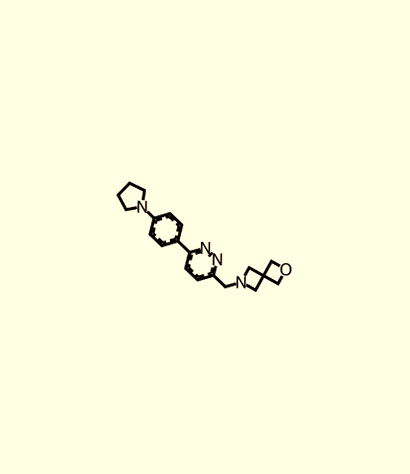 c1cc(N2CCCC2)ccc1-c1ccc(CN2CC3(COC3)C2)nn1